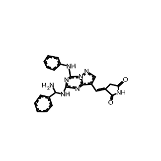 NC(Nc1nc(Nc2ccccc2)n2ncc(/C=C3\CC(=O)NC3=O)c2n1)c1ccccc1